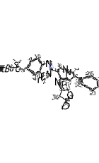 CCc1cc(O[Si](C)(C)C(C)(C)C)ccc1/N=C(\N)c1cnn2cc(-c3ccccc3)cc2c1NC1COC(=O)C1